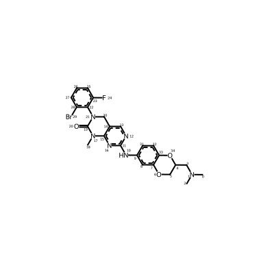 CN(C)CC1COc2cc(Nc3ncc4c(n3)N(C)C(=O)N(c3c(F)cccc3Br)C4)ccc2O1